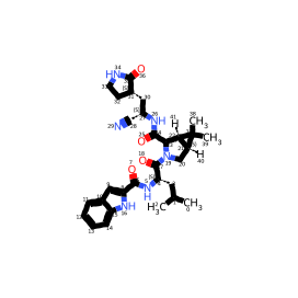 CC(C)C[C@H](NC(=O)c1cc2ccccc2[nH]1)C(=O)N1C[C@H]2[C@@H](C1C(=O)N[C@H](C#N)C[C@@H]1CCNC1=O)C2(C)C